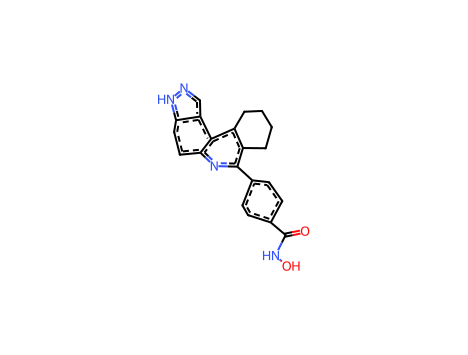 O=C(NO)c1ccc(-c2nc3ccc4[nH]ncc4c3c3c2CCCC3)cc1